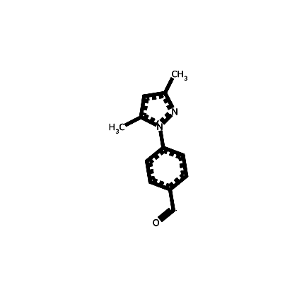 Cc1cc(C)n(-c2ccc([C]=O)cc2)n1